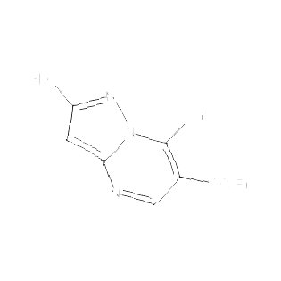 CCOC(=O)c1cnc2cc(C)nn2c1C(F)(F)F